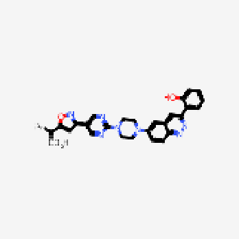 CC(C)C(C(=O)O)c1cc(-c2cnc(N3CCN(c4ccc5nnc(-c6ccccc6O)cc5c4)CC3)nc2)no1